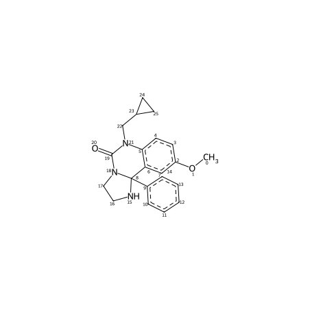 COc1ccc2c(c1)C1(c3ccccc3)NCCN1C(=O)N2CC1CC1